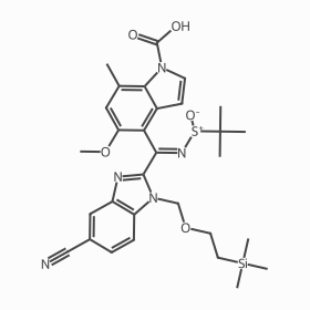 COc1cc(C)c2c(ccn2C(=O)O)c1/C(=N\[S+]([O-])C(C)(C)C)c1nc2cc(C#N)ccc2n1COCC[Si](C)(C)C